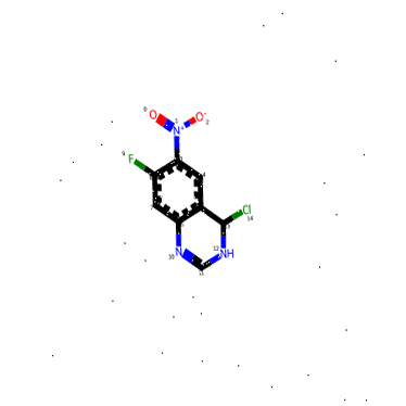 O=[N+]([O-])c1cc2c(cc1F)N=CNC2Cl